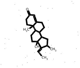 CC=C1C(C)CC2C3CCC4=CC(=O)CCC4(C)C3CCC12C